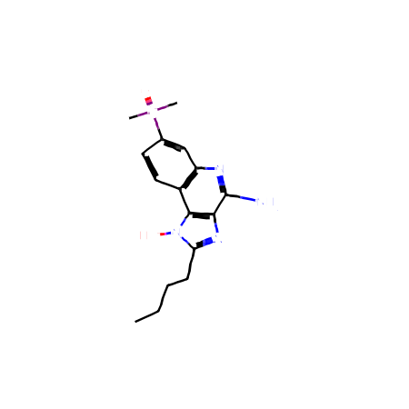 CCCCc1nc2c(N)nc3cc(P(C)(C)=O)ccc3c2n1O